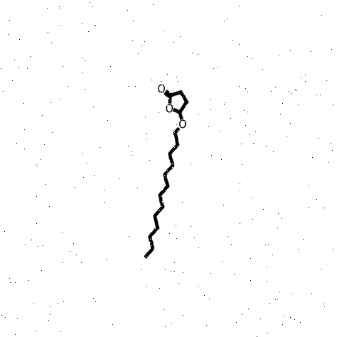 CCCCCCCCCCCCCOC1CCC(=O)O1